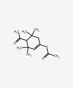 CC(=O)OC1=CC(C)(C)C(C(C)=O)C(C)(C)C1